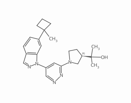 CC1(c2ccc3cnn(-c4cnnc(N5CC[C@@H](C(C)(C)O)C5)c4)c3c2)CCC1